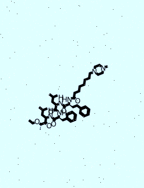 CCO[C@@H](C)C(=O)C(CC(C)C)NC(=O)[C@H](Cc1ccccc1)NC(=O)C(CC(C)C)NC(=O)[C@H](CCc1ccccc1)NC(=O)CCCCCCCN1CCN(C)CC1